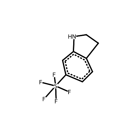 FS(F)(F)(F)(F)c1ccc2c(c1)NCC2